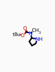 CN(C(=O)OC(C)(C)C)C1CCCN1